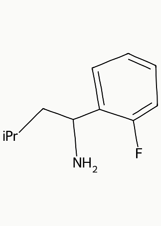 CC(C)CC(N)c1ccccc1F